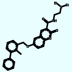 CCN(CC)CCNC(=O)c1cc2cc(OCc3cccc(-c4ccccc4)c3C)ccc2oc1=O